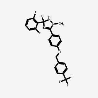 CN1NC(Cl)(c2c(F)cccc2F)N=C1c1ccc(OCc2ccc(C(F)(F)F)cc2)cc1